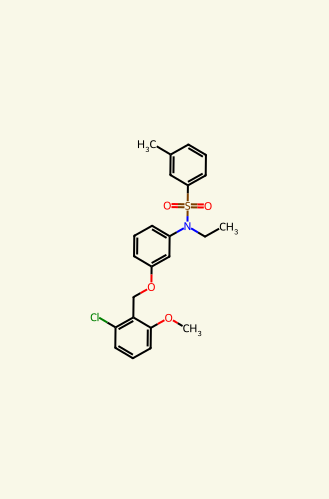 CCN(c1cccc(OCc2c(Cl)cccc2OC)c1)S(=O)(=O)c1cccc(C)c1